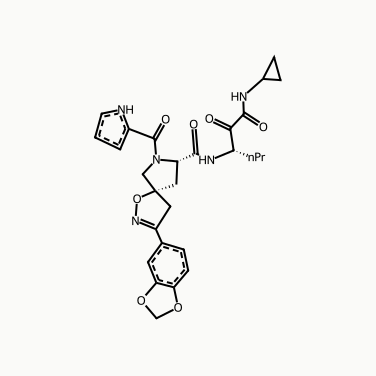 CCC[C@H](NC(=O)[C@@H]1C[C@@]2(CC(c3ccc4c(c3)OCO4)=NO2)CN1C(=O)c1ccc[nH]1)C(=O)C(=O)NC1CC1